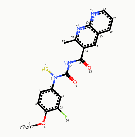 CCCCCOc1ccc(N(S)C(=O)NC(=O)c2cc3cccnc3nc2C)cc1F